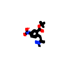 CNC(C)Cc1ccc([N+](=O)[O-])cc1C(=O)OC(C)(C)C